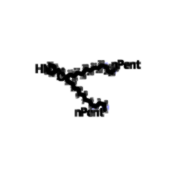 CCCCC/C=C\C/C=C\CCCCCCCCC(CCCCCCCC/C=C\C/C=C\CCCCC)ON=C1CCNCC1